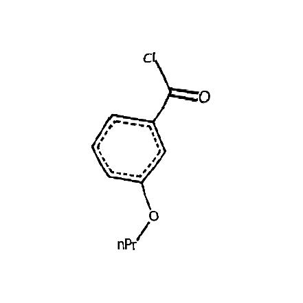 CCCOc1cccc(C(=O)Cl)c1